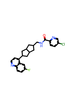 O=C(NCC1CC2CC(c3ccnc4ccc(F)cc34)CC2C1)c1ccc(Cl)cn1